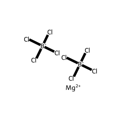 Cl[B-](Cl)(Cl)Cl.Cl[B-](Cl)(Cl)Cl.[Mg+2]